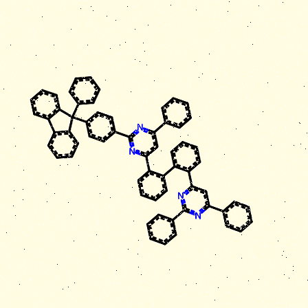 c1ccc(-c2cc(-c3ccccc3-c3ccccc3-c3cc(-c4ccccc4)nc(-c4ccc(C5(c6ccccc6)c6ccccc6-c6ccccc65)cc4)n3)nc(-c3ccccc3)n2)cc1